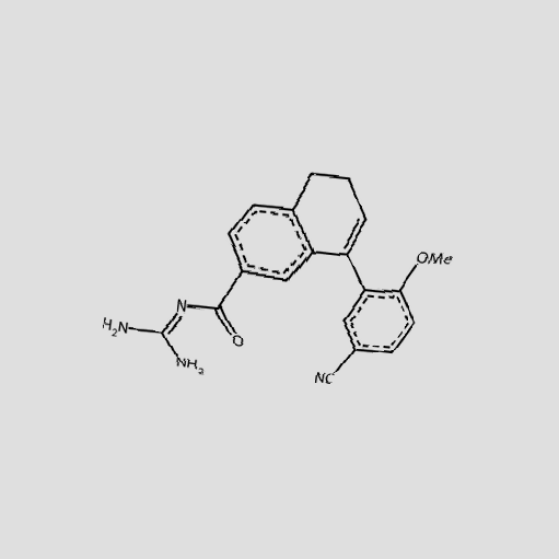 COc1ccc(C#N)cc1C1=CCCc2ccc(C(=O)N=C(N)N)cc21